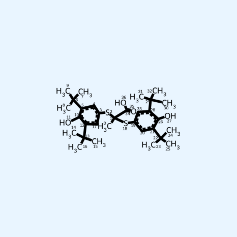 CC(Sc1cc(C(C)(C)C)c(O)c(C(C)(C)C)c1)(Sc1cc(C(C)(C)C)c(O)c(C(C)(C)C)c1)C(=O)O